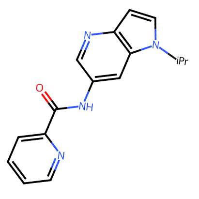 CC(C)n1ccc2ncc(NC(=O)c3ccccn3)cc21